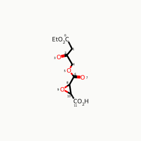 CCOC(=O)CC(=O)COC(=O)C1OC1C(=O)O